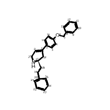 C1=C(c2ccc(OCc3ccccc3)cc2)C[C@@H](CCc2ccccc2)NC1